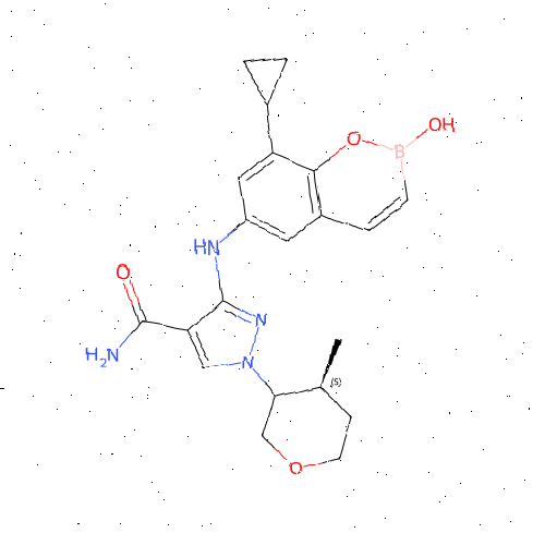 C[C@H]1CCOCC1n1cc(C(N)=O)c(Nc2cc3c(c(C4CC4)c2)OB(O)C=C3)n1